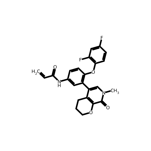 C=CC(=O)Nc1ccc(Oc2ccc(F)cc2F)c(-c2cn(C)c(=O)c3c2CCCO3)c1